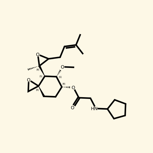 CO[C@@H]1[C@H](OC(=O)CNC2CCCC2)CC[C@]2(CO2)[C@H]1[C@@]1(C)OC1CC=C(C)C